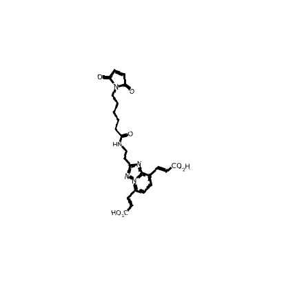 O=C(O)/C=C/c1ccc(/C=C/C(=O)O)n2nc(CCNC(=O)CCCCCN3C(=O)C=CC3=O)nc12